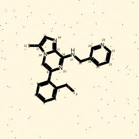 ICc1ccccc1-c1cn2c(I)cnc2c(NCc2cccnc2)n1